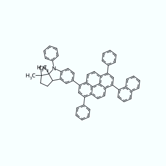 CC1(C)CCC2c3cc(-c4cc(-c5ccccc5)c5ccc6c(-c7cccc8ccccc78)cc(-c7ccccc7)c7ccc4c5c76)ccc3N(c3ccccc3)C21C